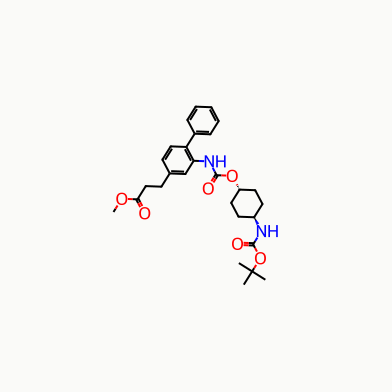 COC(=O)CCc1ccc(-c2ccccc2)c(NC(=O)O[C@H]2CC[C@H](NC(=O)OC(C)(C)C)CC2)c1